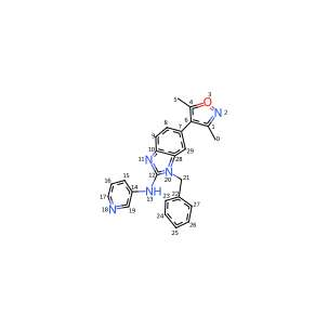 Cc1noc(C)c1-c1ccc2nc(Nc3cccnc3)n(Cc3ccccc3)c2c1